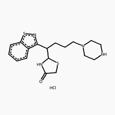 Cl.O=C1CSC(C(CCCN2CCNCC2)c2nsc3ccccc23)N1